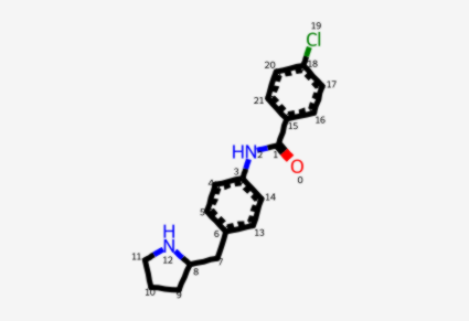 O=C(Nc1ccc(CC2CCCN2)cc1)c1ccc(Cl)cc1